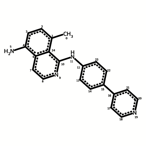 Cc1ccc(N)c2ccnc(Nc3ccc(-c4ccncc4)cc3)c12